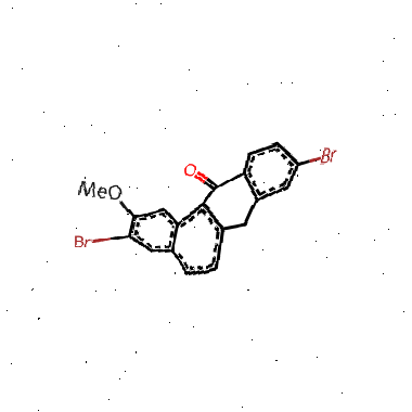 COc1cc2c3c(ccc2cc1Br)Cc1cc(Br)ccc1C3=O